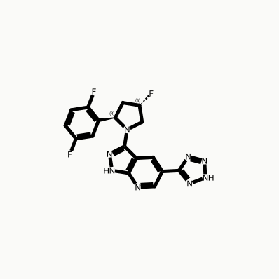 Fc1ccc(F)c([C@H]2C[C@H](F)CN2c2n[nH]c3ncc(-c4nn[nH]n4)cc23)c1